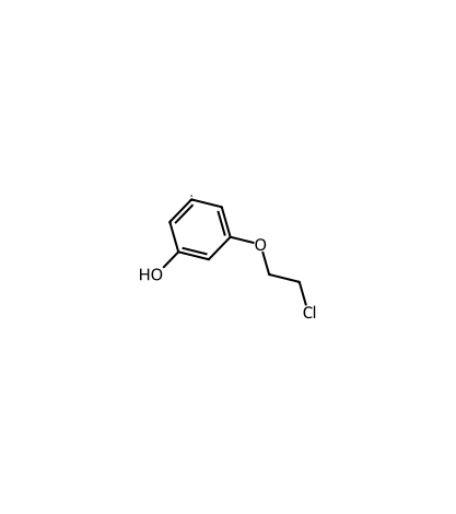 Oc1c[c]cc(OCCCl)c1